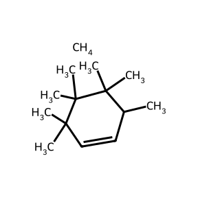 C.CC1C=CC(C)(C)C(C)(C)C1(C)C